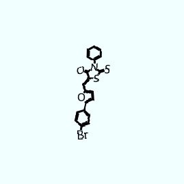 O=C1C(=Cc2ccc(-c3ccc(Br)cc3)o2)SC(=S)N1c1ccccc1